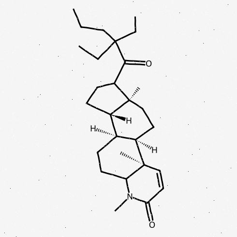 CCCC(CC)(CC)C(=O)C1CC[C@H]2[C@@H]3CCC4N(C)C(=O)C=C[C@]4(C)[C@@H]3CC[C@]12C